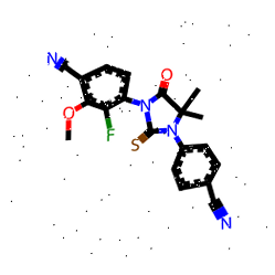 COc1c(C#N)ccc(N2C(=O)C(C)(C)N(c3ccc(C#N)cc3)C2=S)c1F